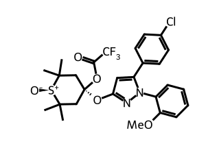 COc1ccccc1-n1nc(O[C@]2(OC(=O)C(F)(F)F)CC(C)(C)[S@@+]([O-])C(C)(C)C2)cc1-c1ccc(Cl)cc1